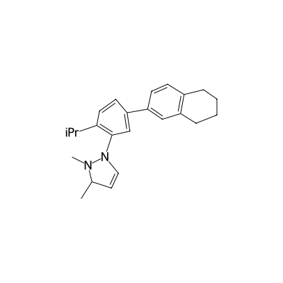 CC(C)c1ccc(-c2ccc3c(c2)CCCC3)cc1N1C=CC(C)N1C